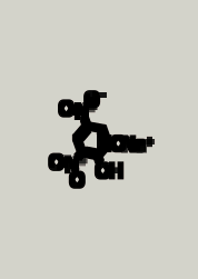 O=[N+]([O-])c1ccc(O)c([N+](=O)[O-])c1.[Na+].[OH-]